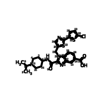 CC(C)N1CCC(NC(=O)c2nc3cc(C(=O)O)ccc3n2Cc2cnc(-c3ccc(Cl)s3)s2)CC1